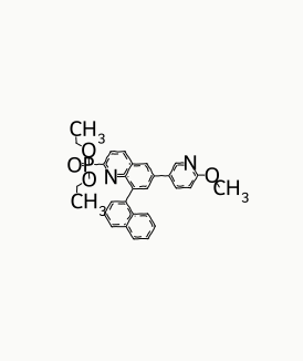 CCOP(=O)(OCC)c1ccc2cc(-c3ccc(OC)nc3)cc(-c3cccc4ccccc34)c2n1